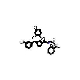 C[C@H](NS(=O)(=O)/C=C/c1nn(-c2ccc(Cl)cc2Cl)c2c1CCC2Cc1cccc(Cl)c1)C1CCCCC1